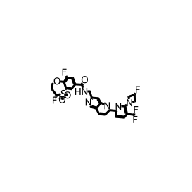 O=C(NCc1cc2nc(-c3ccc(C(F)F)c(N4CC(F)C4)n3)ccc2cn1)c1cc(F)c2c(c1)S(=O)(=O)[C@@H](F)CCO2